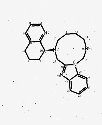 c1cnc2c(c1)CCC[C@@H]2N1CCCCNCn2c(nc3ccccc32)C1